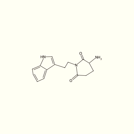 NC1CCC(=O)N(CCc2c[nH]c3ccccc23)C1=O